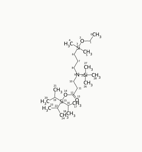 CCO[Si](C)(C)CCCN(CCC(=O)O[Si](C(C)C)(C(C)C)C(C)C)[Si](C)(C)C